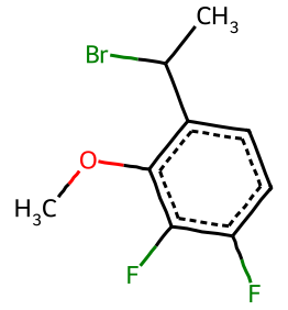 COc1c(C(C)Br)ccc(F)c1F